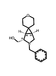 OC[C@@H]1[C@@H]2[C@H](CN1Cc1ccccc1)C21CCOCC1